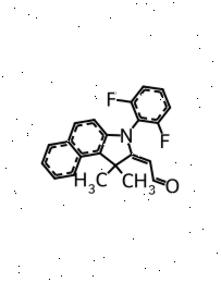 CC1(C)/C(=C\C=O)N(c2c(F)cccc2F)c2ccc3ccccc3c21